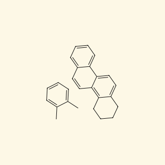 Cc1ccccc1C.c1ccc2c(c1)ccc1c3c(ccc12)CCCC3